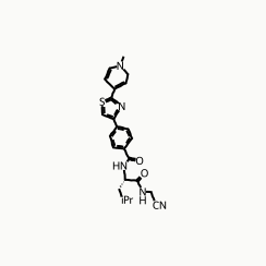 CC(C)C[C@H](NC(=O)c1ccc(-c2csc(C3=CCN(C)C=C3)n2)cc1)C(=O)NCC#N